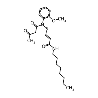 CCCCCCCCNC(=O)C=CSN(C(=O)CC(C)=O)c1ccccc1OC